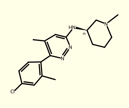 Cc1cc(Cl)ccc1-c1nnc(N[C@@H]2CCCN(C)C2)cc1C